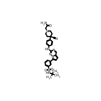 CC(C)(C)NS(=O)(=O)c1cccc(-c2ccc3cnc(Nc4ccc(C5(C#N)CCN(CC(N)=O)CC5)cc4)nn23)c1